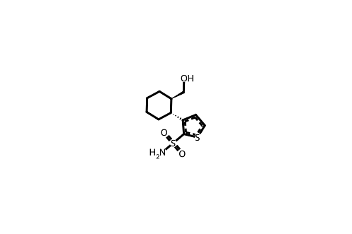 NS(=O)(=O)c1sccc1[C@@H]1CCCC[C@H]1CO